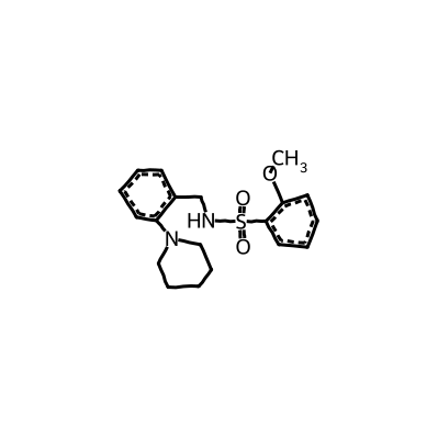 COc1ccccc1S(=O)(=O)NCc1ccccc1N1CCCCC1